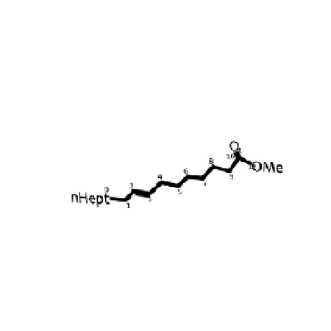 CCCCCCCC/C=C/CCCCCCC(=O)OC